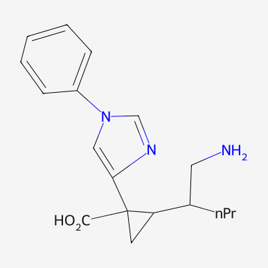 CCCC(CN)C1CC1(C(=O)O)c1cn(-c2ccccc2)cn1